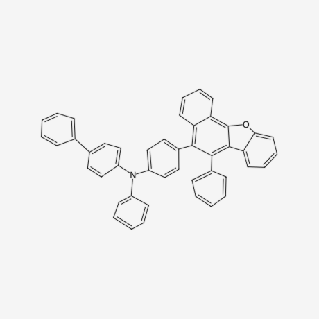 c1ccc(-c2ccc(N(c3ccccc3)c3ccc(-c4c(-c5ccccc5)c5c6ccccc6oc5c5ccccc45)cc3)cc2)cc1